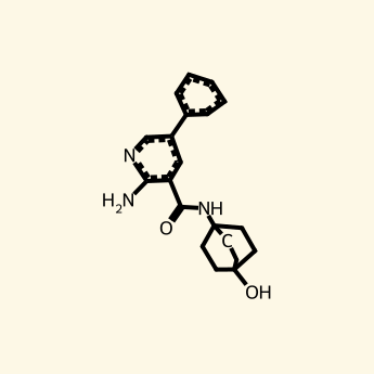 Nc1ncc(-c2ccccc2)cc1C(=O)NC12CCC(O)(CC1)CC2